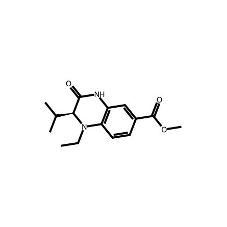 CCN1c2ccc(C(=O)OC)cc2NC(=O)[C@@H]1C(C)C